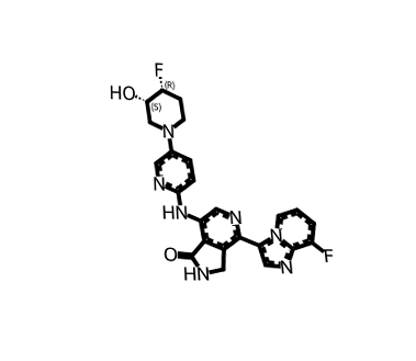 O=C1NCc2c(-c3cnc4c(F)cccn34)ncc(Nc3ccc(N4CC[C@@H](F)[C@@H](O)C4)cn3)c21